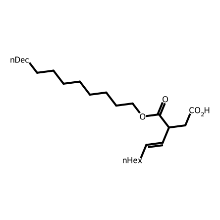 CCCCCCC=CC(CC(=O)O)C(=O)OCCCCCCCCCCCCCCCCCC